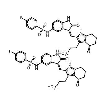 O=C(O)CCc1c(/C=C2\C(=O)Nc3ccc(NS(=O)(=O)c4ccc(F)cc4)cc32)[nH]c2c1C(=O)CCC2.O=C(O)CCc1c(/C=C2\C(=O)Nc3ccc(NS(=O)(=O)c4ccc(F)cc4)cc32)[nH]c2c1C(=O)CCC2